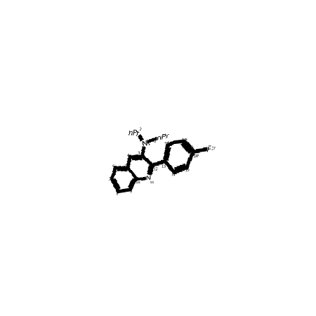 CCCN(CCC)c1cc2ccccc2nc1-c1ccc(F)cc1